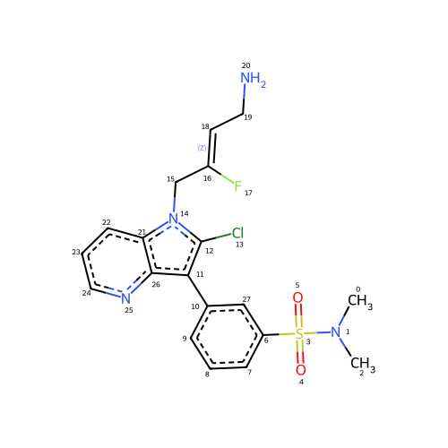 CN(C)S(=O)(=O)c1cccc(-c2c(Cl)n(C/C(F)=C/CN)c3cccnc23)c1